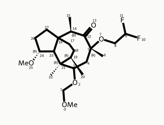 COCOC1C[C@@](C)(OCC(F)F)C(=O)[C@H](C)C23CC[C@@H](C)[C@]1(C)C2[C@H](OC)CC3